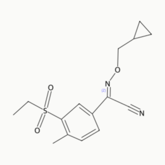 CCS(=O)(=O)c1cc(/C(C#N)=N/OCC2CC2)ccc1C